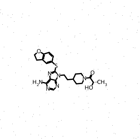 C[C@H](O)C(=O)N1CCC(CCn2c(Sc3ccc4c(c3)CCO4)nc3c(N)ncnc32)CC1